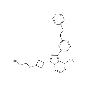 Nc1nccn2c1c(-c1cccc(OCc3ccccc3)c1)nc2[C@H]1C[C@@H](OCCO)C1